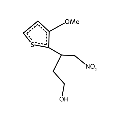 COc1ccsc1C(CCO)C[N+](=O)[O-]